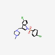 CN1CCN(Cc2cn(S(=O)(=O)c3ccc(Br)cc3)c3ccc(Br)cc23)CC1